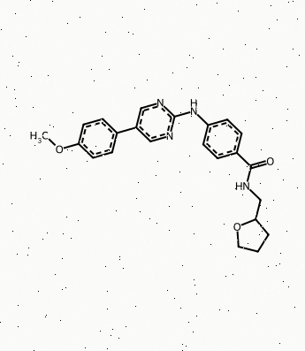 COc1ccc(-c2cnc(Nc3ccc(C(=O)NCC4CCCO4)cc3)nc2)cc1